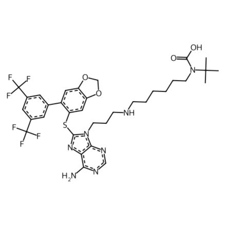 CC(C)(C)N(CCCCCCNCCCn1c(Sc2cc3c(cc2-c2cc(C(F)(F)F)cc(C(F)(F)F)c2)OCO3)nc2c(N)ncnc21)C(=O)O